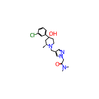 C[C@H]1C[C@@](O)(c2cccc(Cl)c2)CCN1Cc1cnn(CC(=O)N(C)C)c1